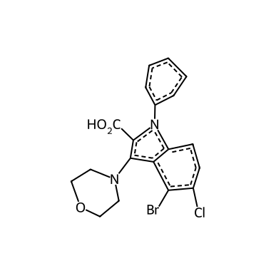 O=C(O)c1c(N2CCOCC2)c2c(Br)c(Cl)ccc2n1-c1ccccc1